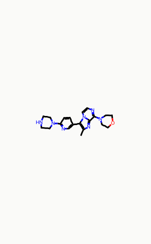 Cc1nc2c(N3CCOCC3)nccn2c1-c1ccc(N2CCNCC2)nc1